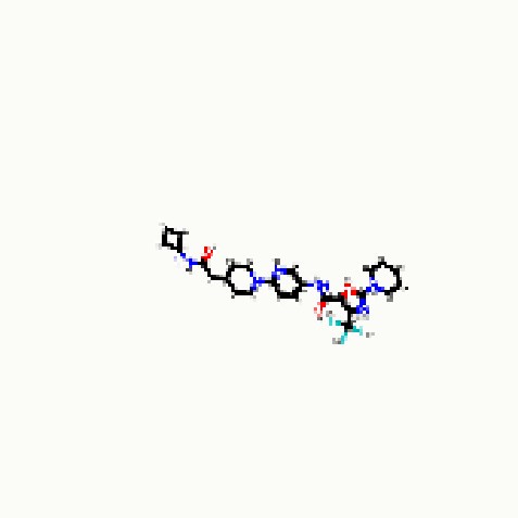 O=C(CC1CCN(c2ccc(NC(=O)c3oc(N4CCCCC4)nc3C(F)(F)F)cn2)CC1)NC1CCC1